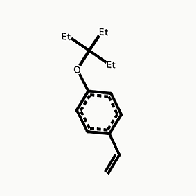 C=Cc1ccc(OC(CC)(CC)CC)cc1